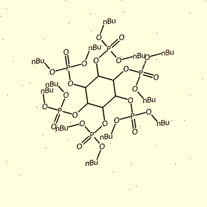 CCCCOP(=O)(OCCCC)OC1C(OP(=O)(OCCCC)OCCCC)C(OP(=O)(OCCCC)OCCCC)C(OP(=O)(OCCCC)OCCCC)C(OP(=O)(OCCCC)OCCCC)C1OP(=O)(OCCCC)OCCCC